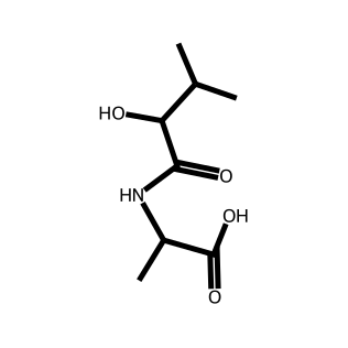 CC(NC(=O)C(O)C(C)C)C(=O)O